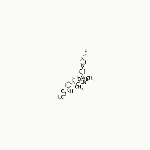 C=CC(=O)Nc1cccc(N/C(C)=C(/C=N\C(C)Nc2ccc(N3CCN(CCF)CC3)cc2)OC)c1